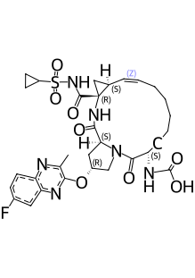 Cc1nc2ccc(F)cc2nc1O[C@@H]1C[C@H]2C(=O)N[C@]3(C(=O)NS(=O)(=O)C4CC4)C[C@H]3/C=C\CCCCC[C@H](NC(=O)O)C(=O)N2C1